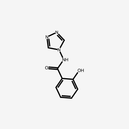 O=C(Nn1cnnc1)c1ccccc1O